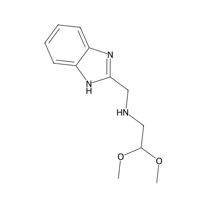 COC(CNCc1nc2ccccc2[nH]1)OC